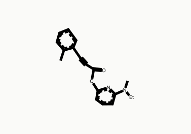 CCN(C)c1cccc(OC(=O)C#Cc2ccccc2C)n1